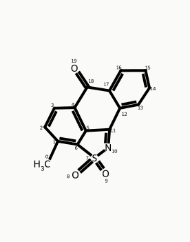 Cc1ccc2c3c1S(=O)(=O)N=C3c1ccccc1C2=O